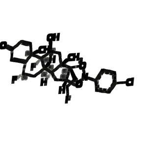 C[C@]12C=CC(=O)C=C1[C@@H](F)C[C@H]1[C@@H]3C[C@H]4CN(c5ccc(Cl)cc5)O[C@@]4(C(=O)CF)[C@@]3(C)C[C@H](O)[C@@]12F